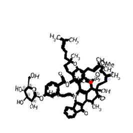 COC(=O)/C(C)=C\CC1(O)C(=O)C(C)C2C3=C(c4ccccc4C3=O)N(CCN)C3=C2C1(C(C)C(C)C)Oc1c(CC=C(C)C)c2c(c(OC(=O)c4ccc(O[C@@H]5O[C@H](CO)[C@@H](O)[C@H](O)[C@H]5O)cc4)c13)C=CC(C)(CCC=C(C)C)O2